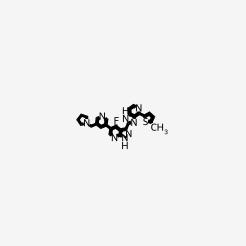 Cc1ccc(-c2nccc3[nH]c(-c4n[nH]c5ncc(-c6cncc(CN7CCCC7)c6)c(F)c45)nc23)s1